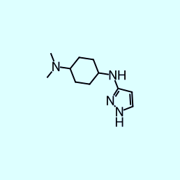 CN(C)C1CCC(Nc2cc[nH]n2)CC1